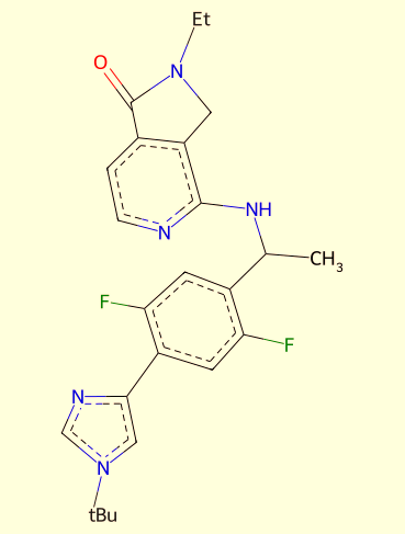 CCN1Cc2c(ccnc2NC(C)c2cc(F)c(-c3cn(C(C)(C)C)cn3)cc2F)C1=O